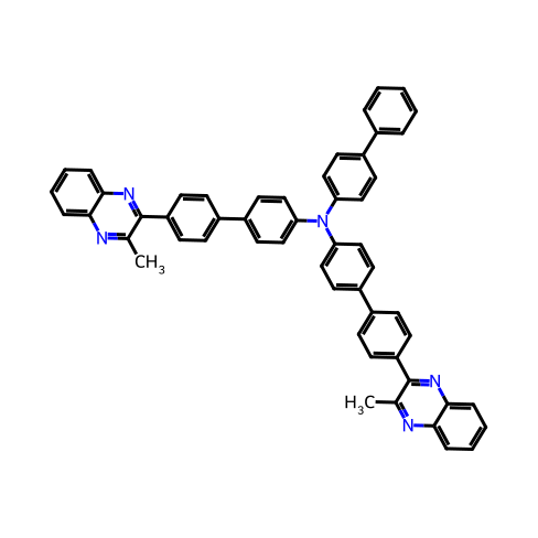 Cc1nc2ccccc2nc1-c1ccc(-c2ccc(N(c3ccc(-c4ccccc4)cc3)c3ccc(-c4ccc(-c5nc6ccccc6nc5C)cc4)cc3)cc2)cc1